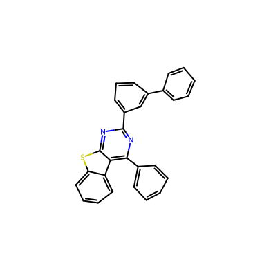 c1ccc(-c2cccc(-c3nc(-c4ccccc4)c4c(n3)sc3ccccc34)c2)cc1